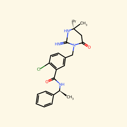 CC(C)[C@]1(C)CC(=O)N(Cc2ccc(Cl)c(C(=O)N[C@@H](C)c3ccccc3)c2)C(=N)N1